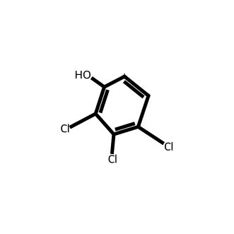 Oc1[c]cc(Cl)c(Cl)c1Cl